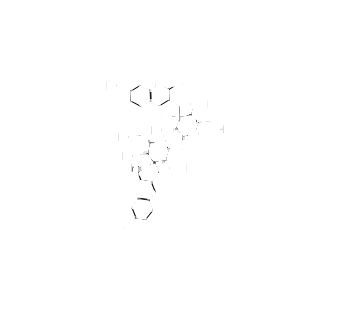 O=c1oc2cc(O)ccc2cc1C[C@]1(O)[C@@H](O)[C@@H](CO)O[C@@H](S[C@@H]2O[C@H](CO)[C@H](O)[C@@](O)(Cc3cc4ccc(O)cc4oc3=O)[C@H]2O)[C@@H]1O